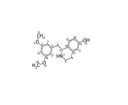 COc1cc(CC2NCCc3cc(O)ccc32)cc(OC)c1